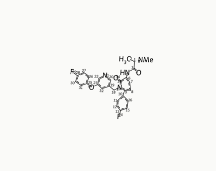 CN[C@@H](C)C(=O)Nc1ccc(-c2ccc(F)cc2)n(Cc2cncc(Oc3ccc(F)cc3)c2)c1=O